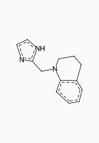 c1ccc2c(c1)CCCN2Cc1ncc[nH]1